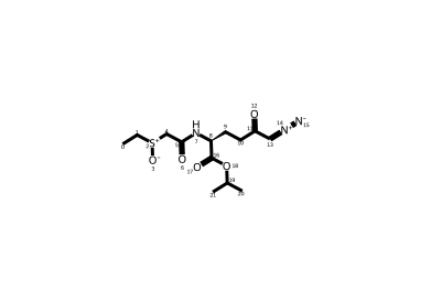 CC[S+]([O-])CC(=O)N[C@@H](CCC(=O)C=[N+]=[N-])C(=O)OC(C)C